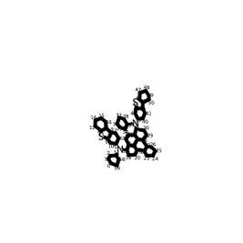 c1ccc(N(c2ccc3c(c2)sc2ccccc23)c2ccc3c4ccccc4c4ccc(N(c5ccccc5)c5ccc6c(c5)sc5ccccc56)c5ccc2c3c54)cc1